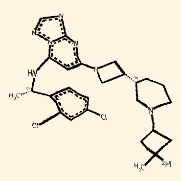 [2H]C1(C)CC(N2CCC[C@@H](C3CN(c4cc(N[C@@H](C)c5ccc(Cl)cc5Cl)n5ncnc5n4)C3)C2)C1